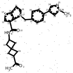 CC(=O)C1CC2(CC(NC(=O)c3csc4ccn(Cc5ccc(-c6cnn(C)c6)cc5)c34)C2)C1